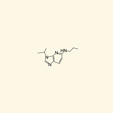 CCCNc1ccc2ncn(C(C)C)c2n1